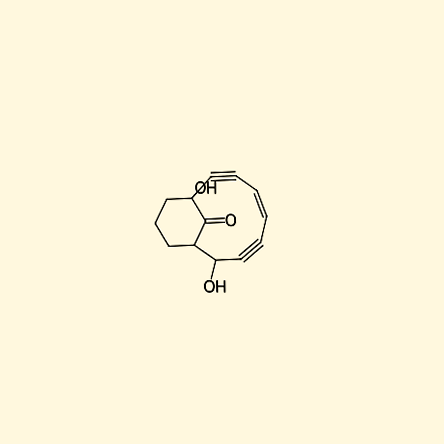 O=C1C2CCCC1(O)C#C/C=C\C#CC2O